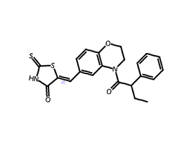 CCC(C(=O)N1CCOc2ccc(/C=C3\SC(=S)NC3=O)cc21)c1ccccc1